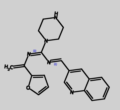 C=C(/N=C(\N=C\c1cnc2ccccc2c1)N1CCNCC1)c1ccco1